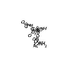 CC(=O)C(N)[C@@H]1CN(c2ccc(OCC3(OC(=O)C(CCCCNC(=O)OCc4ccccc4)NC(=O)OCc4ccccc4)CCNCC3)c(F)c2)C(=O)O1